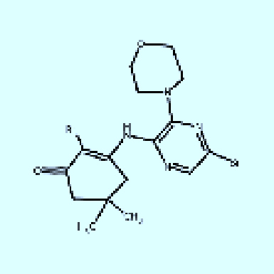 CC1(C)CC(=O)C(Br)=C(Nc2ncc(Br)nc2N2CCOCC2)C1